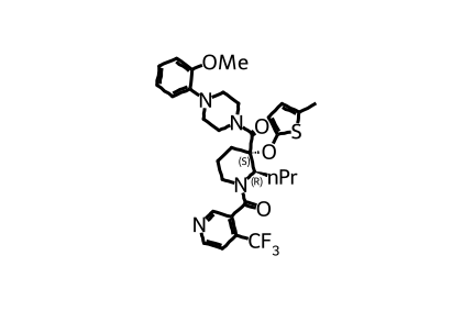 CCC[C@H]1N(C(=O)c2cnccc2C(F)(F)F)CCC[C@@]1(Oc1ccc(C)s1)C(=O)N1CCN(c2ccccc2OC)CC1